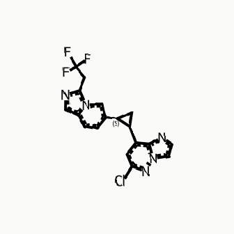 FC(F)(F)Cc1ncc2ccc([C@H]3CC3c3cc(Cl)nn4ccnc34)cn12